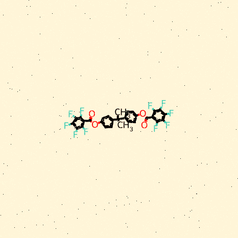 CC(C)(c1ccc(OC(=O)c2c(F)c(F)c(F)c(F)c2F)cc1)c1ccc(OC(=O)c2c(F)c(F)c(F)c(F)c2F)cc1